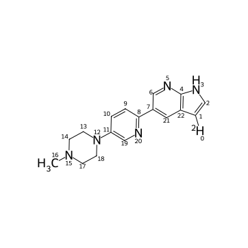 [2H]c1c[nH]c2ncc(-c3ccc(N4CCN(C)CC4)cn3)cc12